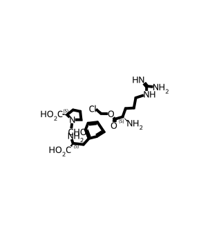 N=C(N)NCCC[C@H](N)C(=O)OCCl.N[C@@H](Cc1ccccc1)C(=O)O.O=CN1CCC[C@H]1C(=O)O